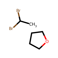 C1CCOC1.CC(Br)Br